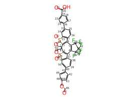 CCC1=C(C2=C(C3=C(CC)S(=O)(=O)c4cc(-c5ccc(C(=O)O)cc5)ccc43)C(F)(F)C(F)(F)C2(F)F)c2ccc(-c3ccc(OC=O)cc3)cc2S1(=O)=O